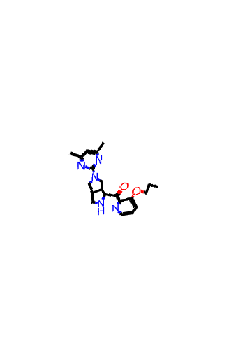 CCCOc1cccnc1C(=O)C1NCC2CN(c3nc(C)cc(C)n3)CC21